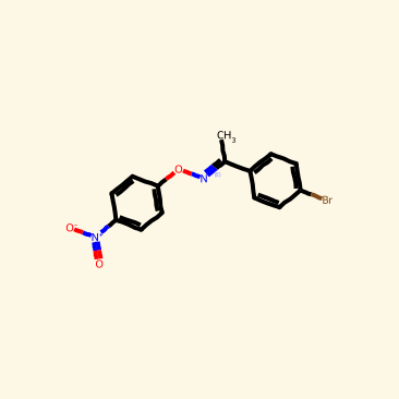 C/C(=N\Oc1ccc([N+](=O)[O-])cc1)c1ccc(Br)cc1